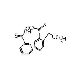 O=C(O)Cc1ccccc1C(O)=S.OC(=S)c1ccccc1